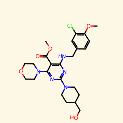 COC(=O)c1c(NCc2ccc(OC)c(Cl)c2)nc(N2CCC(CO)CC2)nc1N1CCOCC1